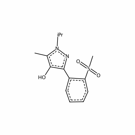 Cc1c(O)c(-c2ccccc2S(C)(=O)=O)nn1C(C)C